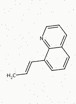 [CH2]/C=C/c1cccc2cccnc12